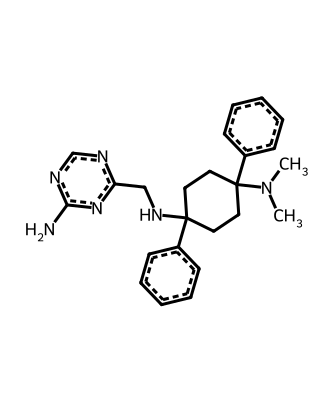 CN(C)C1(c2ccccc2)CCC(NCc2ncnc(N)n2)(c2ccccc2)CC1